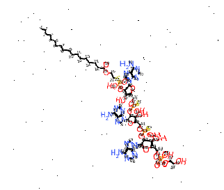 CCCCCCCCCCCCCCCCCC(=O)OCCSP(=O)(O)O[C@H]1C(O)[C@@H](COP(O)(=S)O[C@H]2C(O)[C@@H](COP(O)(=S)O[C@H]3C(O)[C@@H](COP(=O)(O)OCCO)O[C@H]3n3cnc4c(N)ncnc43)O[C@H]2n2cnc3c(N)ncnc32)O[C@H]1n1cnc2c(N)ncnc21